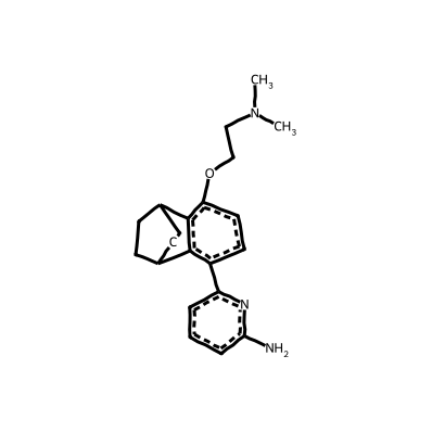 CN(C)CCOc1ccc(-c2cccc(N)n2)c2c1C1CCC2CC1